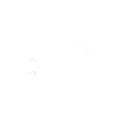 Cc1cc(C)c(S(=O)(=O)N[C@H](Cc2ccc(-c3ccc(C)c(NC(=O)NC4CC4)c3)cc2)C(=O)O)c(C)c1